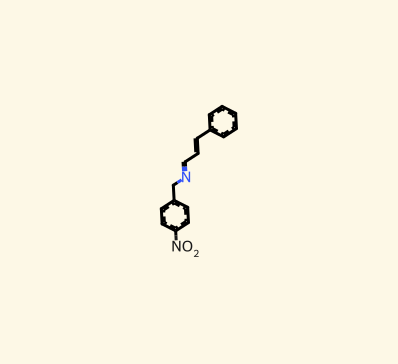 O=[N+]([O-])c1ccc(C/N=C/C=C/c2ccccc2)cc1